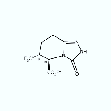 CCOC(=O)[C@H]1[C@H](C(F)(F)F)CCc2n[nH]c(=O)n21